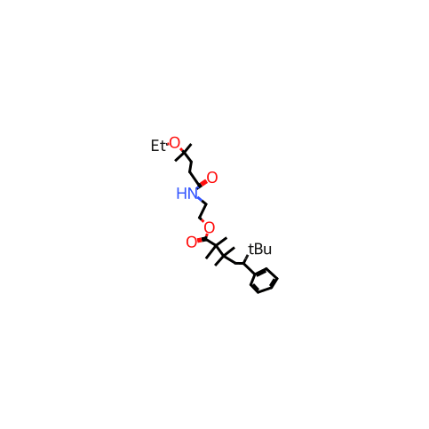 CCOC(C)(C)CCC(=O)NCCOC(=O)C(C)(C)C(C)(C)CC(c1ccccc1)C(C)(C)C